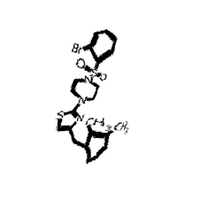 Cc1cccc(Cc2csc(N3CCN(S(=O)(=O)c4ccccc4Br)CC3)n2)c1C